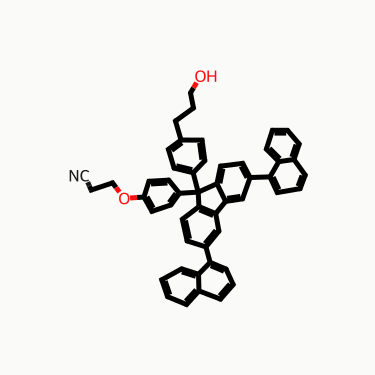 N#CCCOc1ccc(C2(c3ccc(CCCO)cc3)c3ccc(-c4cccc5ccccc45)cc3-c3cc(-c4cccc5ccccc45)ccc32)cc1